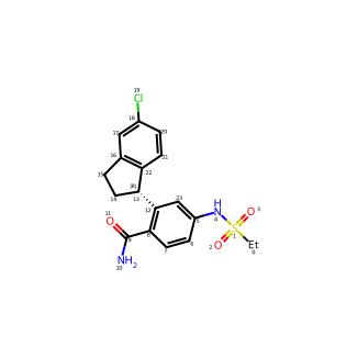 CCS(=O)(=O)Nc1ccc(C(N)=O)c([C@@H]2CCc3cc(Cl)ccc32)c1